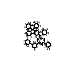 c1ccc(-c2cccc(-c3nc(-c4ccccc4)nc(-n4c5ccccc5c5cc6c(cc54)-c4ccccc4C64c5ccccc5-c5ccccc54)n3)c2)cc1